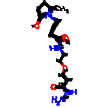 C=C1CCC(=O)N1CCC(=O)NCCOCCC(=O)NN